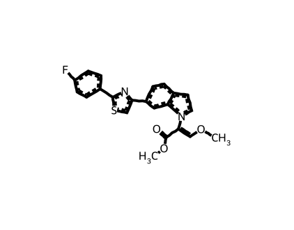 CO/C=C(/C(=O)OC)n1ccc2ccc(-c3csc(-c4ccc(F)cc4)n3)cc21